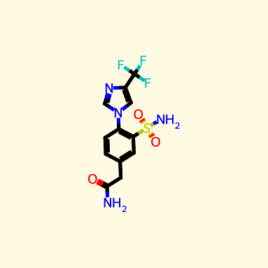 NC(=O)Cc1ccc(-n2cnc(C(F)(F)F)c2)c(S(N)(=O)=O)c1